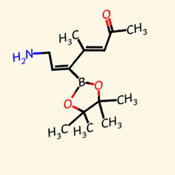 CC(=O)C=C(C)/C(=C\CN)B1OC(C)(C)C(C)(C)O1